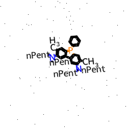 CCCCCN(CCCCC)c1cc2c3cc(N(CCCCC)CCCCC)c(C)cc3p(-c3ccccc3)c2cc1C